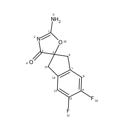 NC1=NC(=O)C2(Cc3cc(F)c(F)cc3C2)O1